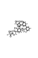 CCc1nc(NC2CCc3cccc(-c4cccc(-n5ncc(CO)c5OC)n4)c32)ccc1C1=CCN(C(=O)[C@H](C)O)CC1